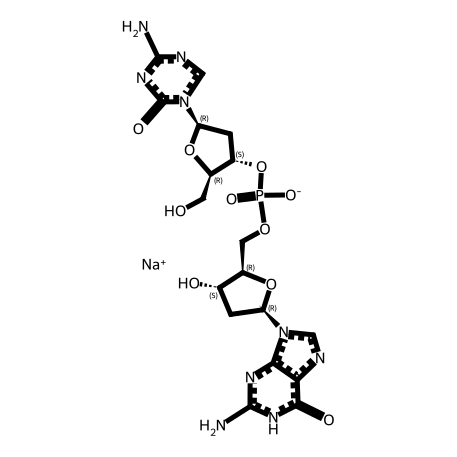 Nc1ncn([C@H]2C[C@H](OP(=O)([O-])OC[C@H]3O[C@@H](n4cnc5c(=O)[nH]c(N)nc54)C[C@@H]3O)[C@@H](CO)O2)c(=O)n1.[Na+]